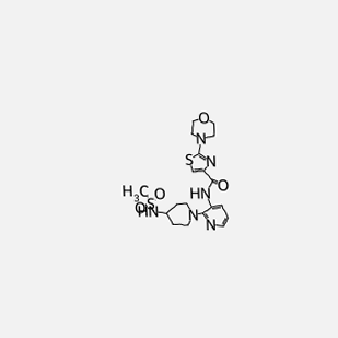 CS(=O)(=O)NC1CCN(c2ncccc2NC(=O)c2csc(N3CCOCC3)n2)CC1